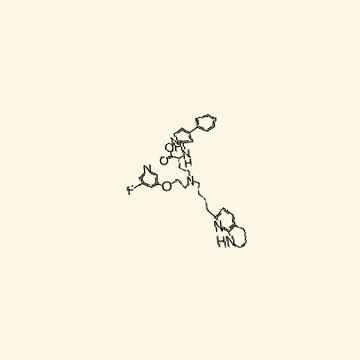 O=C(O)[C@H](CCN(CCCCc1ccc2c(n1)NCCC2)CCOc1cncc(F)c1)Nc1cc(-c2ccccc2)ccn1